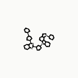 c1ccc(-c2ccc(-c3nc(-c4cccc(-n5c6ccccc6c6c7c(ccc65)ccn7-c5ccccc5)c4)nc4ccccc34)cc2)cc1